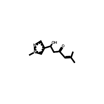 CC(C)=CC(=O)CC(O)c1cnn(C)c1